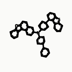 c1ccc(-c2ccc(N(c3ccc(-c4cccc5sc6ccccc6c45)cc3)c3ccc4c(ccc5oc6ccccc6c54)c3)cc2)cc1